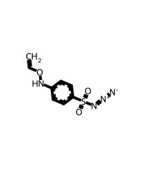 C=CONc1ccc(S(=O)(=O)N=[N+]=[N-])cc1